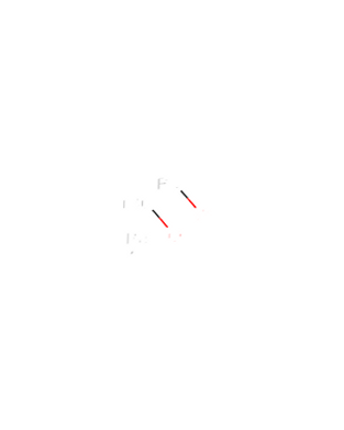 CC(C)(C)[O-].CC(C)(C)[O-].[Ba+2]